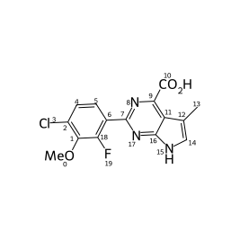 COc1c(Cl)ccc(-c2nc(C(=O)O)c3c(C)c[nH]c3n2)c1F